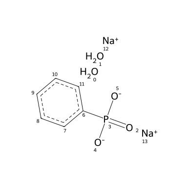 O.O.O=P([O-])([O-])c1ccccc1.[Na+].[Na+]